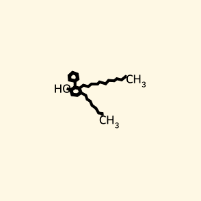 CCCCCCCCCCCCc1c(CCCCCCCC)ccc(O)c1-c1ccccc1